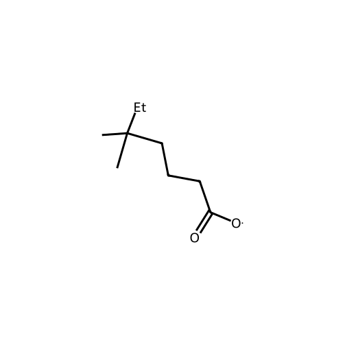 CCC(C)(C)CCCC([O])=O